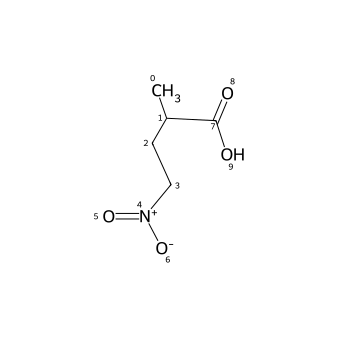 CC(CC[N+](=O)[O-])C(=O)O